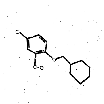 O=Cc1cc(Cl)ccc1OCC1CCCCC1